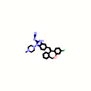 CN1CCN(n2/c(=N/C#N)[nH]c3cc(/C=C4\c5ccccc5COc5cc(F)ccc54)ccc32)CC1